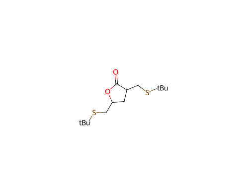 CC(C)(C)SCC1CC(CSC(C)(C)C)C(=O)O1